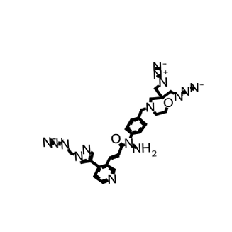 [N-]=[N+]=NCn1cc(-c2ccncc2/C=C/C(=O)N(N)c2ccc(CN3CCOC(CN=[N+]=[N-])(CN=[N+]=[N-])C3)cc2)cn1